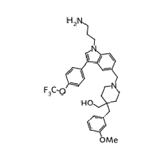 COc1cccc(CC2(CO)CCN(Cc3ccc4c(c3)c(-c3ccc(OC(F)(F)F)cc3)cn4CCCN)CC2)c1